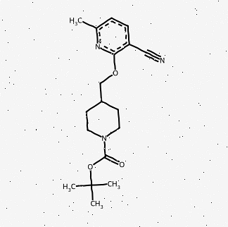 Cc1ccc(C#N)c(OCC2CCN(C(=O)OC(C)(C)C)CC2)n1